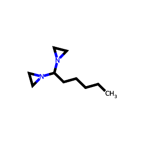 CCCCCC(N1CC1)N1CC1